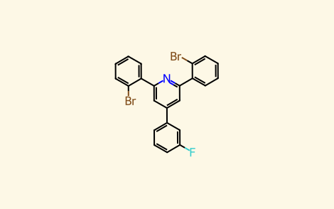 Fc1cccc(-c2cc(-c3ccccc3Br)nc(-c3ccccc3Br)c2)c1